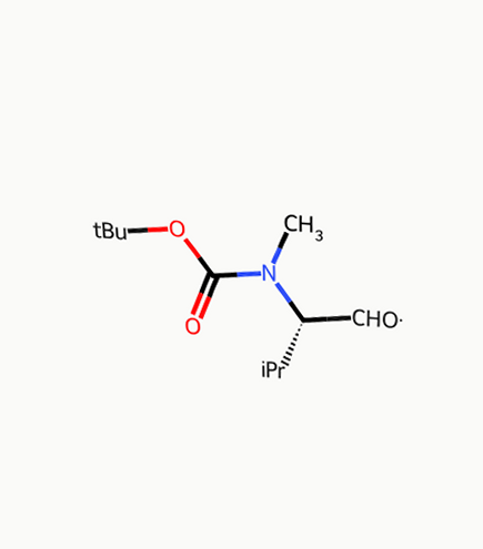 CC(C)[C@@H]([C]=O)N(C)C(=O)OC(C)(C)C